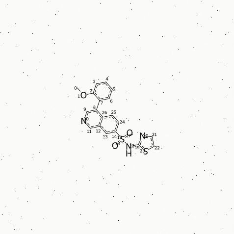 COc1ccccc1-c1cncc2cc(S(=O)(=O)Nc3nccs3)ccc12